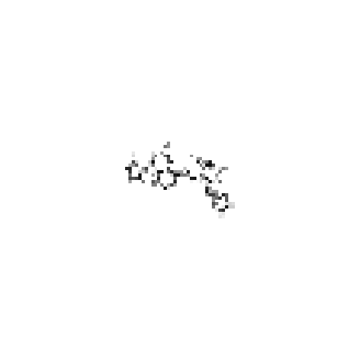 Cc1cc(-c2ccnn2C)c2cccc(OCc3c(Sc4nccs4)ccnc3Cl)c2n1